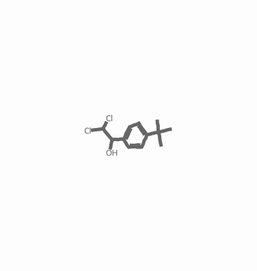 CC(C)(C)c1ccc(C(O)C(Cl)Cl)cc1